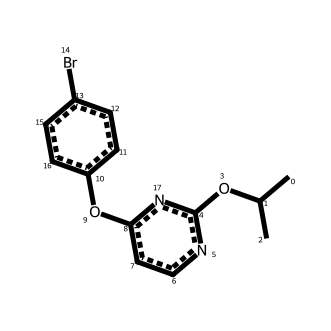 CC(C)Oc1nccc(Oc2ccc(Br)cc2)n1